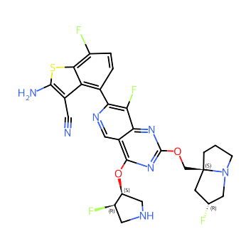 N#Cc1c(N)sc2c(F)ccc(-c3ncc4c(O[C@H]5CNC[C@H]5F)nc(OC[C@@]56CCCN5C[C@H](F)C6)nc4c3F)c12